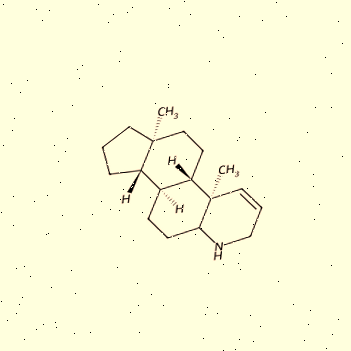 C[C@@]12CCC[C@H]1[C@@H]1CCC3NCC=C[C@]3(C)[C@H]1CC2